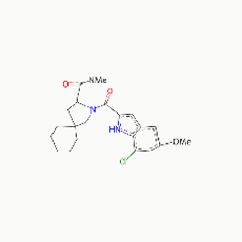 CNC(=O)C1CC2(CCCCC2)CN1C(=O)c1cc2cc(OC)cc(Cl)c2[nH]1